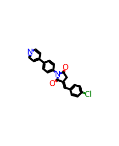 O=C1C/C(=C\c2ccc(Cl)cc2)C(=O)N1c1ccc(-c2ccncc2)cc1